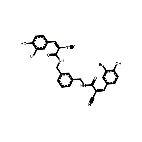 [C-]#[N+]/C(=C/c1ccc(O)c(Br)c1)C(=O)NCc1cccc(CNC(=O)/C(C#N)=C\c2ccc(O)c(Br)c2)c1